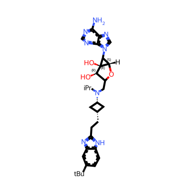 CC(C)N(CC1O[C@H]2C(n3cnc4c(N)ncnc43)[C@@]2(O)[C@@H]1O)[C@H]1C[C@@H](CCc2nc3cc(C(C)(C)C)ccc3[nH]2)C1